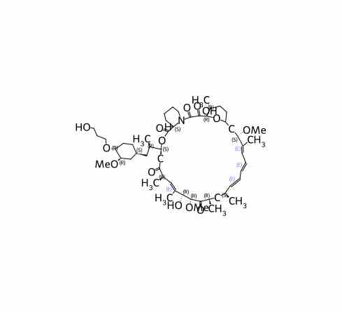 CO[C@H]1CC2CC[C@@H](C)[C@@](O)(O2)C(=O)C(=O)N2CCCC[C@H]2C(=O)O[C@H]([C@H](C)C[C@@H]2CC[C@@H](OCCCO)[C@H](OC)C2)CC(=O)[C@H](C)/C=C(\C)[C@@H](O)[C@@H](OC)C(=O)[C@H](C)C[C@H](C)/C=C/C=C/C=C/1C